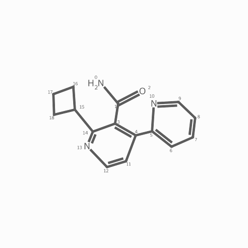 NC(=O)c1c(-c2ccccn2)ccnc1C1CCC1